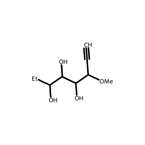 C#CC(OC)C(O)C(O)C(O)CC